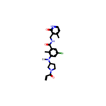 C=CC(=O)N1CCC(N(CC)c2cc(Br)cc(C(=O)NCc3c(C)cc[nH]c3=O)c2C)C1